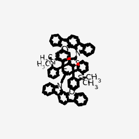 C[Si]1(C)c2ccccc2C2(c3ccccc31)c1cc(-n3c4ccccc4c4ccc5c6ccccc6oc5c43)sc1C1(c3ccccc3[Si](C)(C)c3ccccc31)c1cc(-n3c4ccccc4c4ccc5c6ccccc6oc5c43)sc12